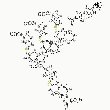 C=C(C)C(=O)O.C=C(C)C(=O)O.C=C(C)C(=O)O.C=C(C)C(=O)O.O=C([O-])C1CC2CC(Sc3ccc4ccccc4c3)C1C2.O=C([O-])C1CC2CC(Sc3ccc4ccccc4c3)C1C2.O=C([O-])C1CC2CC(Sc3ccc4ccccc4c3)C1C2.O=C([O-])C1CC2CC(Sc3ccc4ccccc4c3)C1C2.[Hf+4]